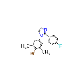 Cc1cc(-n2ccnc2-c2ccc(F)cc2)cc(C)c1Br